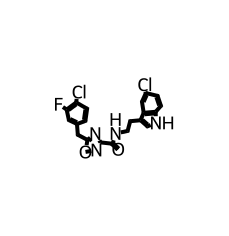 O=C(NCCc1c[nH]c2ccc(Cl)cc12)c1noc(Cc2ccc(Cl)c(F)c2)n1